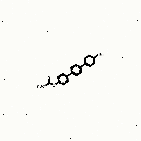 CCCCCCCCC(=O)Oc1ccc(-c2ccc(C3=CCC(CCCC)CC3)cc2)cc1